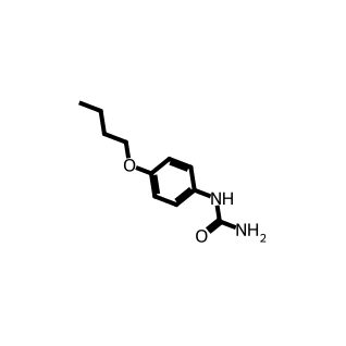 CCCCOc1ccc(NC(N)=O)cc1